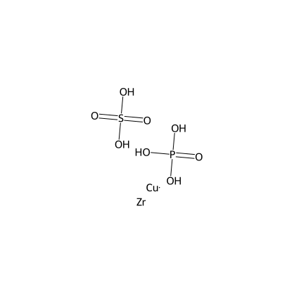 O=P(O)(O)O.O=S(=O)(O)O.[Cu].[Zr]